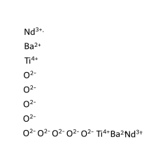 [Ba+2].[Ba+2].[Nd+3].[Nd+3].[O-2].[O-2].[O-2].[O-2].[O-2].[O-2].[O-2].[O-2].[O-2].[Ti+4].[Ti+4]